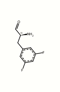 N[C@H](C=O)Cc1cc(F)cc(F)c1